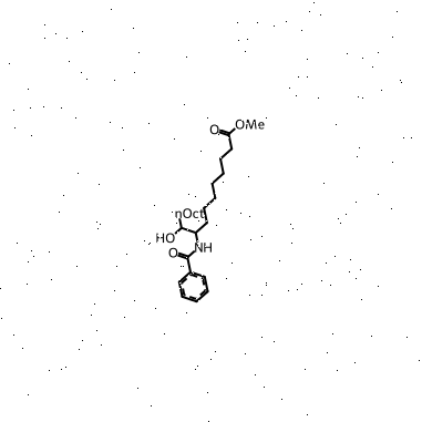 CCCCCCCCC(O)C(CCCCCCCC(=O)OC)NC(=O)c1ccccc1